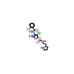 CN1CCCC1CCNC(=O)Oc1n[nH]c(NC(=O)c2ccccc2Cl)c1Br